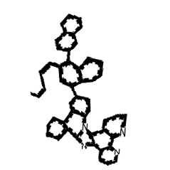 C/C=C\C=C/c1cc(-c2ccc3c(c2)c2ccccc2c2nc4c5cccnc5c5ncccc5c4n32)c2ccccc2c1-c1ccc2ccccc2c1